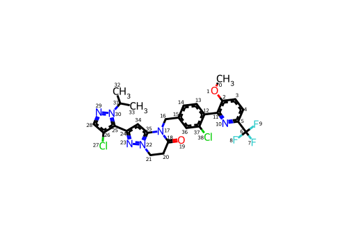 COc1ccc(C(F)(F)F)nc1-c1ccc(CN2C(=O)CCn3nc(-c4c(Cl)cnn4C(C)C)cc32)cc1Cl